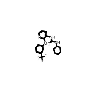 O=C(Nc1cccnc1Oc1cccc(C(F)(F)F)c1)NC1CCCCC1